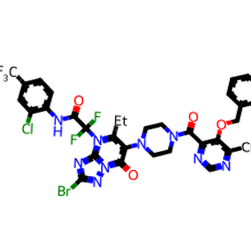 CCc1c(N2CCN(C(=O)c3ncnc(C)c3OCc3ccccc3)CC2)c(=O)n2nc(Br)nc2n1C(F)(F)C(=O)Nc1ccc(C(F)(F)F)cc1Cl